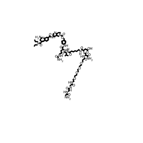 CCCN(CCC)C(=O)C1=Cc2ccc(C(=O)Nc3cnc4c(c3)CN(C(=O)OCc3ccc(NC(=O)C(CCCNC(N)=O)NC(=O)C(NC(=O)CCCCCNC(=O)C(CC(=O)O)SCC(NC(=O)CCOCCOCCOCCOCCNC(=O)CNC(=O)CNC(=O)CN)C(N)=O)C(C)C)cc3)CC4)cc2N=C(N)C1